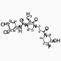 C[C@H]1C(=O)N(CCC(=O)N2CCC(F)C(O)C2)CCN1C(=O)Nc1ccc(Cl)c(Cl)c1